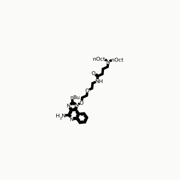 CCCCCCCCN(CCCCCCCC)CCCC(=O)NCCOCCOn1c(CCCC)nc2c(N)nc3ccccc3c21